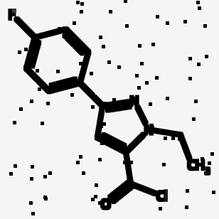 CCn1nc(-c2ccc(F)cc2)cc1C(=O)Cl